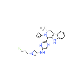 C[C@@H]1Cc2c([nH]c3ccccc23)[C@@H](c2cnc(NC3CN(CCCF)C3)cn2)N1C12CC(C1)C2